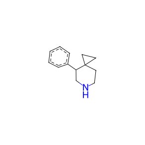 c1ccc(C2CNCCC23CC3)cc1